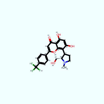 CN1CCC(c2c(O)cc(O)c3c(=O)cc(-c4ccc(C(F)(F)F)cc4)oc23)[C@H]1CO